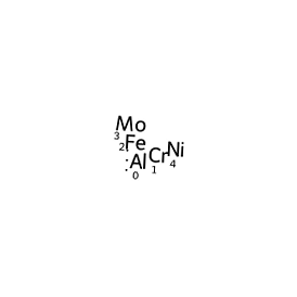 [Al].[Cr].[Fe].[Mo].[Ni]